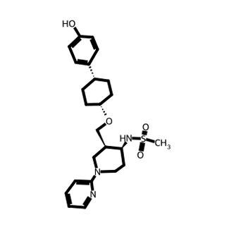 CS(=O)(=O)N[C@H]1CCN(c2ccccn2)C[C@H]1CO[C@H]1CC[C@@H](c2ccc(O)cc2)CC1